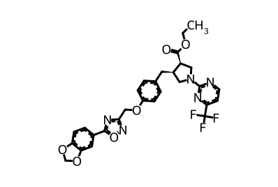 CCOC(=O)[C@H]1CN(c2nccc(C(F)(F)F)n2)C[C@H]1Cc1ccc(OCc2noc(-c3ccc4c(c3)OCO4)n2)cc1